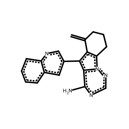 C=C1CCCc2c1c(-c1cnc3ccccc3c1)c1c(N)ncnn21